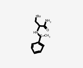 C[C@@H](NC(CC(C)(C)C)C(N)=O)c1ccccc1